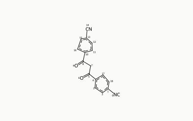 [C-]#[N+]c1ccc(C(=O)CC(=O)c2ccc(C#N)cc2)cc1